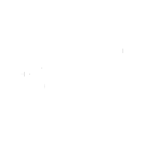 CC/C=C\C/C=C\C/C=C\C/C=C\C/C=C\CCCC(C)(C)C